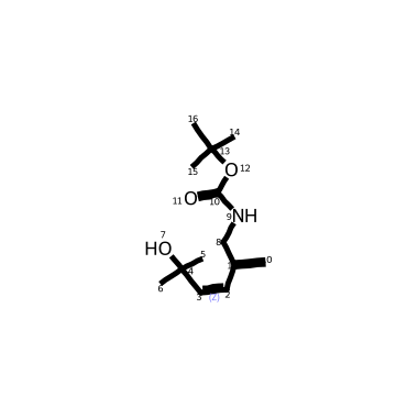 C=C(/C=C\C(C)(C)O)CNC(=O)OC(C)(C)C